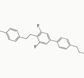 CCCc1ccc(-c2cc(F)c(CCc3ccc(C)cc3)c(F)c2)cc1